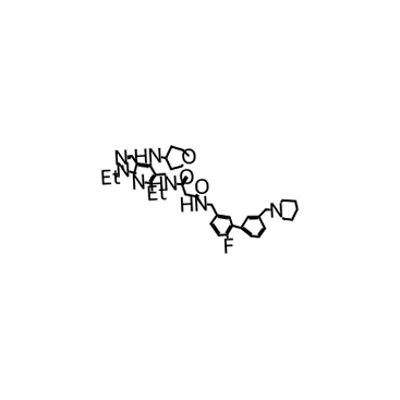 CCc1nc2c(cnn2CC)c(NC2CCOCC2)c1CNC(=O)CC(=O)NCc1ccc(F)c(-c2cccc(CN3CCCCC3)c2)c1